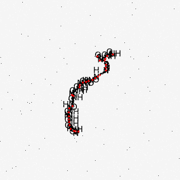 CCN(c1cc(-c2ccc(CN3CCN(CCCCCCCNC(=O)CCNC(=O)c4nc(NC(=O)c5cc(NC(=O)CCNC(=O)c6nc(NC(=O)CCCNC(=O)c7cc(NC(=O)c8nc(NC(=O)CCNC(=O)c9cc(NC(=O)c%10nccn%10C)cn9C)cn8C)cn7C)cn6C)cn5C)cn4C)CC3)cc2)cc(C(=O)NCc2c(C)cc(C)[nH]c2=O)c1C)C1CCOCC1